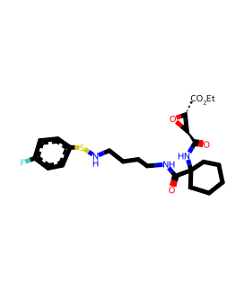 CCOC(=O)[C@H]1O[C@@H]1C(=O)NC1(C(=O)NCCCCNSc2ccc(F)cc2)CCCCC1